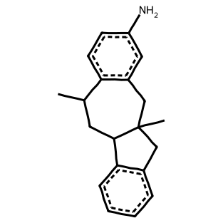 CC1CC2c3ccccc3CC2(C)Cc2cc(N)ccc21